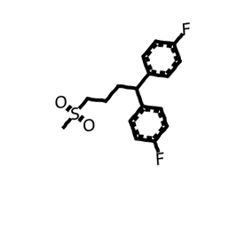 CS(=O)(=O)CCCC(c1ccc(F)cc1)c1ccc(F)cc1